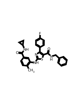 Cc1ccc(C(=O)NC2CC2)cc1Nc1nc(-c2ccc(F)cc2)c(C(=O)NCc2ccccc2)s1